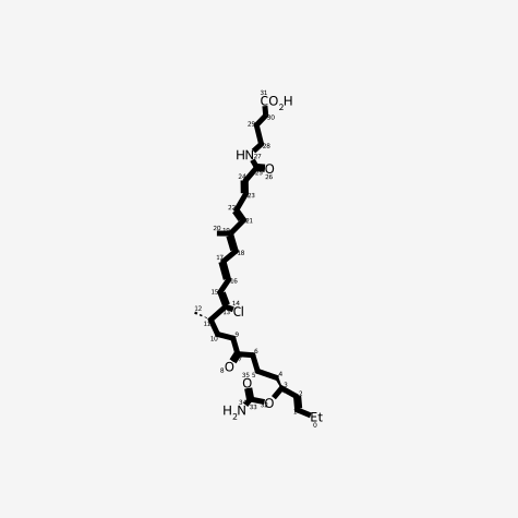 CC/C=C/[C@H](CCCC(=O)CC[C@H](C)/C(Cl)=C/C=C/C=C(C)/C=C/C=C/C(=O)NCCCC(=O)O)OC(N)=O